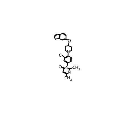 Cc1cc(=O)n(-c2ccc(N3CCC(Oc4ccc5c(c4)CC=C5)CC3)c(Cl)c2)c(C)n1